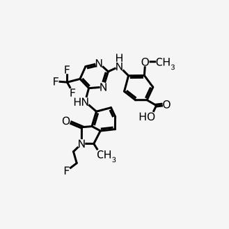 COc1cc(C(=O)O)ccc1Nc1ncc(C(F)(F)F)c(Nc2cccc3c2C(=O)N(CCF)C3C)n1